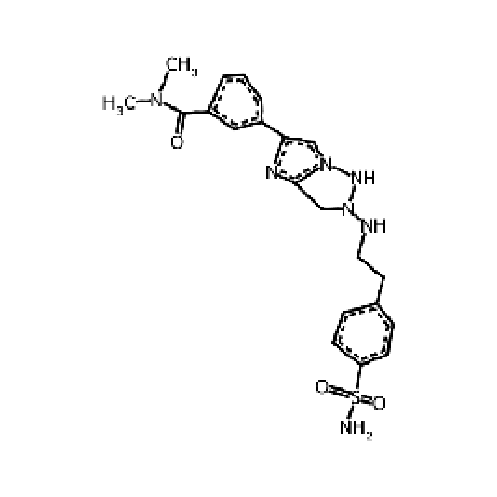 CN(C)C(=O)c1cccc(-c2cn3c(n2)CN(NCCc2ccc(S(N)(=O)=O)cc2)N3)c1